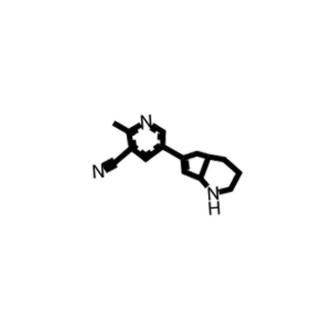 Cc1ncc(C2=CC3NCCCC3C2)cc1C#N